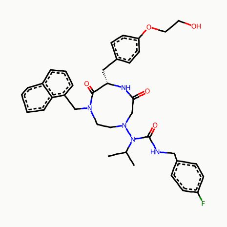 CC(C)N(C(=O)NCc1ccc(F)cc1)N1CCN(Cc2cccc3ccccc23)C(=O)[C@H](Cc2ccc(OCCO)cc2)NC(=O)C1